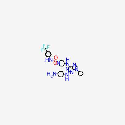 N[C@H]1CC[C@H](Nc2nc(NC3CCN(OC(=O)Nc4ccc(C(F)(F)F)cc4)CC3)c3ncn(C4CCCC4)c3n2)CC1